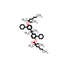 CCCCCC(C)(CC)Oc1ccc(C(C)(C)c2ccc(OC(=O)C(C)(CC)CCCCC)c(C3CCCCC3)c2)cc1C1CCCCC1